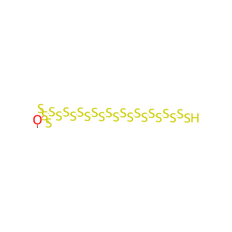 COS(=S)(=S)SSSSSSSSSSSSSSSSSSSS